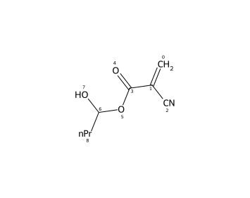 C=C(C#N)C(=O)OC(O)CCC